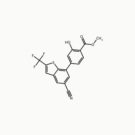 COC(=O)c1ccc(-c2cc(C#N)cc3cc(C(F)(F)F)sc23)cc1O